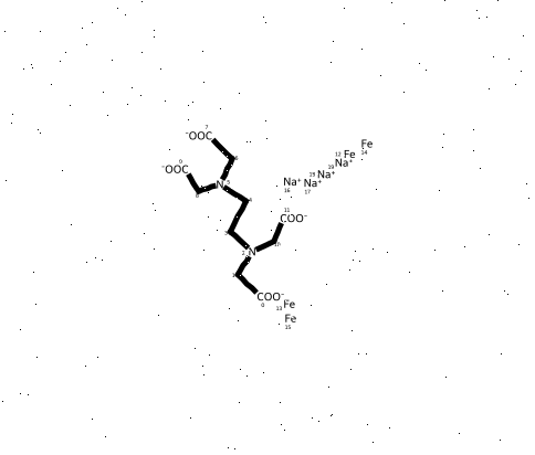 O=C([O-])CN(CCN(CC(=O)[O-])CC(=O)[O-])CC(=O)[O-].[Fe].[Fe].[Fe].[Fe].[Na+].[Na+].[Na+].[Na+]